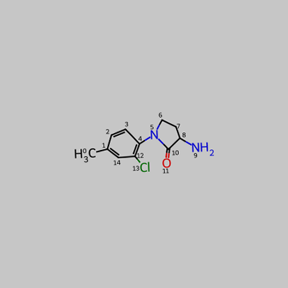 Cc1ccc(N2CCC(N)C2=O)c(Cl)c1